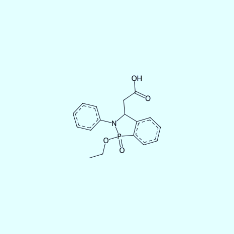 CCOP1(=O)c2ccccc2C(CC(=O)O)N1c1ccccc1